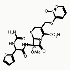 CO[C@@]1(NC(=O)C(NC(N)=O)c2cccs2)C(=O)N2C(C(=O)O)=C(CSc3cccn[n+]3[O-])CSC21